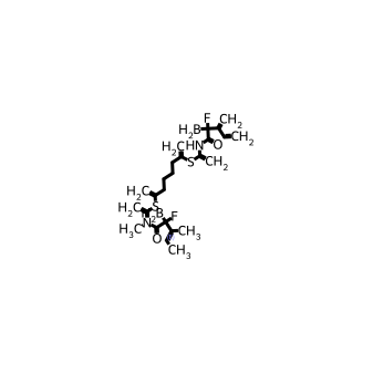 BC(F)(C(=C)C=C)C(=O)NC(=C)SC(=C)CCCCC(=C)SC(=C)N(C)C(=O)C(B)(F)/C(C)=C/C